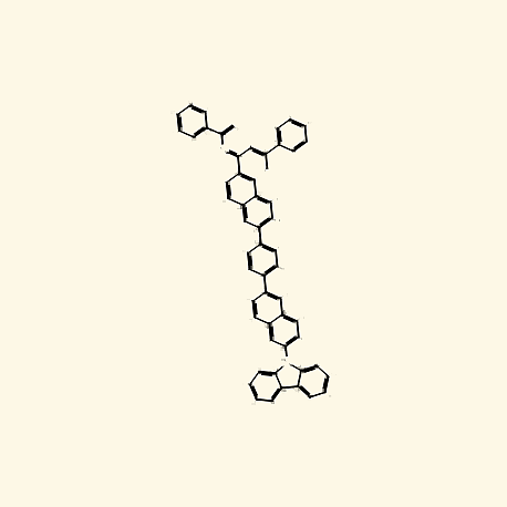 C=C(/N=C(\C=C(/C)c1ccccc1)c1ccc2cc(-c3ccc(-c4ccc5cc(-n6c7ccccc7c7ccccc76)ccc5c4)cc3)ccc2c1)c1ccccc1